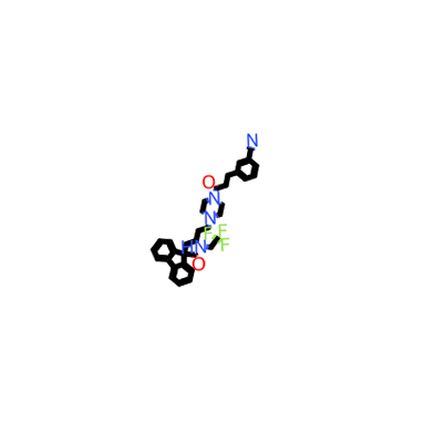 N#Cc1cccc(CCC(=O)N2CCN(CCCCC3(C(=O)NCC(F)(F)F)c4ccccc4-c4ccccc43)CC2)c1